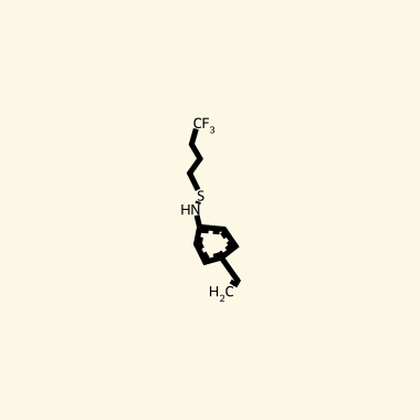 C=Cc1ccc(NSCCCC(F)(F)F)cc1